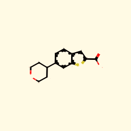 O=C(O)c1cc2ccc(C3CCOCC3)cc2s1